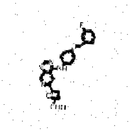 O=Cc1ccc(-c2cc3c(Nc4ccc(OCc5cccc(F)c5)cc4)ncnc3cn2)o1